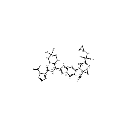 CC(C)n1nccc1C(=O)N[C@H](c1cn2ncc(C(NC(=O)C(F)(F)CC3CC3)C3(C#N)CC3)cc2n1)C1CCC(F)(F)CC1